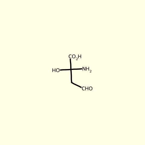 NC(O)(CC=O)C(=O)O